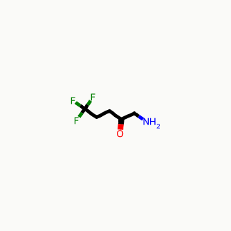 NCC(=O)CCC(F)(F)F